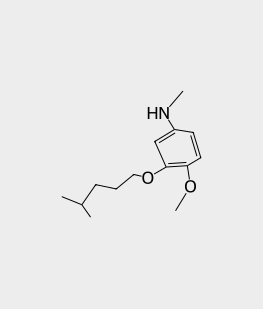 CNc1ccc(OC)c(OCCCC(C)C)c1